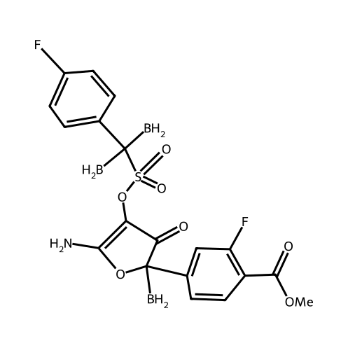 BC1(c2ccc(C(=O)OC)c(F)c2)OC(N)=C(OS(=O)(=O)C(B)(B)c2ccc(F)cc2)C1=O